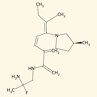 C=C(/C=C\C(=C(\C)CC)N1CC[C@H](C)C1)C(=C)NCC(C)(N)F